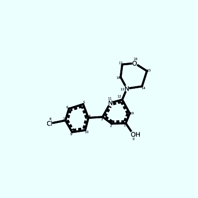 Oc1cc(-c2ccc(Cl)cc2)nc(N2CCOCC2)c1